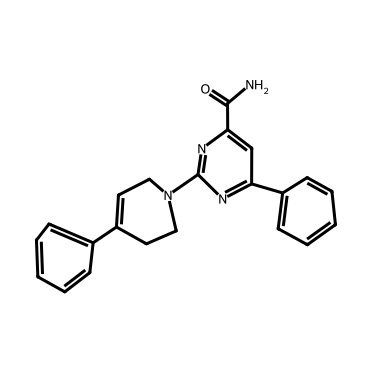 NC(=O)c1cc(-c2ccccc2)nc(N2CC=C(c3ccccc3)CC2)n1